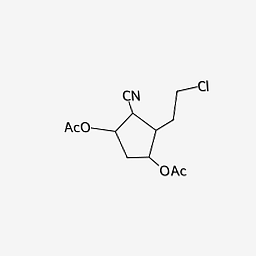 CC(=O)OC1CC(OC(C)=O)C(CCCl)C1C#N